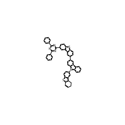 C1=Cc2sc3ccc(-n4c5ccccc5c5cc(-c6ccc7sc8ccc(-c9nc(-c%10ccccc%10)nc(-c%10ccccc%10)n9)cc8c7c6)ccc54)cc3c2CC1